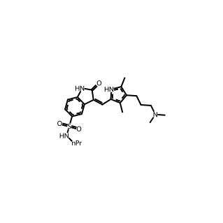 CCCNS(=O)(=O)c1ccc2c(c1)C(=Cc1[nH]c(C)c(CCCN(C)C)c1C)C(=O)N2